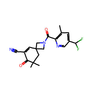 Cc1cc(C(F)F)cnc1C(=O)N1CC2(C=C(C#N)C(=O)C(C)(C)C2)C1